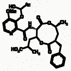 COc1ccnc(C(=O)N[C@@H]2C(=O)O[C@@H](C)C[C@@H](Cc3ccccc3)C(=O)OC2CC(C)C(=O)O)c1OC(O)C(C)=O